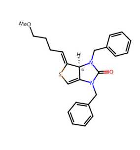 COCCCC=C1SC=C2[C@@H]1N(Cc1ccccc1)C(=O)N2Cc1ccccc1